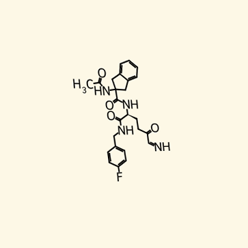 CC(=O)NC1(C(=O)N[C@@H](CCC(=O)C=N)C(=O)NCc2ccc(F)cc2)Cc2ccccc2C1